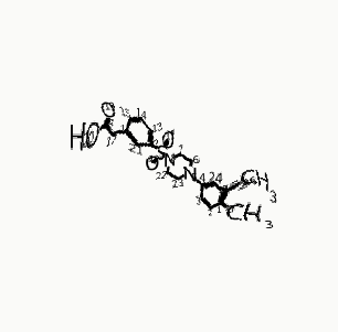 Cc1ccc(N2CCN(S(=O)(=O)c3cccc(CC(=O)O)c3)CC2)cc1C